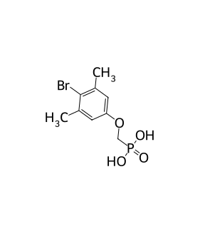 Cc1cc(OCP(=O)(O)O)cc(C)c1Br